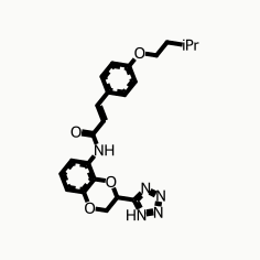 CC(C)CCOc1ccc(C=CC(=O)Nc2cccc3c2OC(c2nnn[nH]2)CO3)cc1